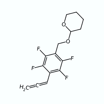 C=C=Cc1c(F)c(F)c(COC2CCCCO2)c(F)c1F